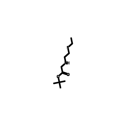 CCSCCNCC(=O)OC(C)(C)C